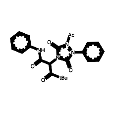 CC(=O)n1c(=O)n(C(C(=O)Nc2ccccc2)C(=O)C(C)(C)C)c(=O)n1-c1ccccc1